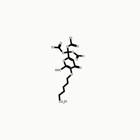 CCOC(=O)CCCCCOc1c(C=O)oc(C(OC(=O)CC)(OC(=O)CC)OC(=O)CC)cc1=O